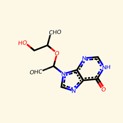 O=CC(CO)OC(C=O)n1cnc2c(=O)[nH]cnc21